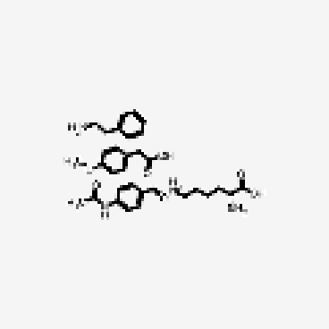 CC(=O)Nc1ccc(C=O)cc1.COc1ccc(CC(=O)O)cc1.NCCCC[C@H](N)C(=O)O.NCCc1ccccc1